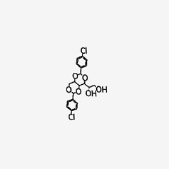 OC[C@H](O)C1OC(c2ccc(Cl)cc2)OC2COC(c3ccc(Cl)cc3)OC21